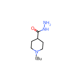 CC(C)(C)N1CCC(C(=O)NN)CC1